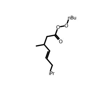 CCCCOOC(=O)CC(C)C=CCC(C)C